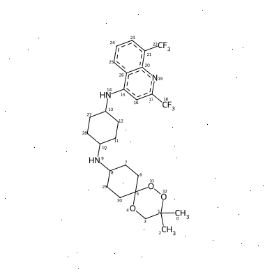 CC1(C)COC2(CCC(NC3CCC(Nc4cc(C(F)(F)F)nc5c(C(F)(F)F)cccc45)CC3)CC2)OO1